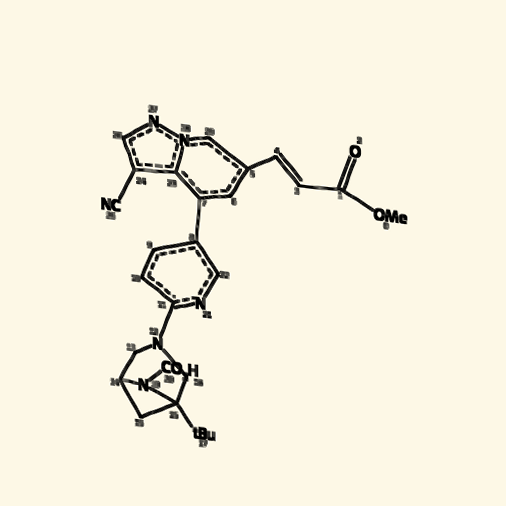 COC(=O)C=Cc1cc(-c2ccc(N3CC4CC(C(C)(C)C)(C3)N4C(=O)O)nc2)c2c(C#N)cnn2c1